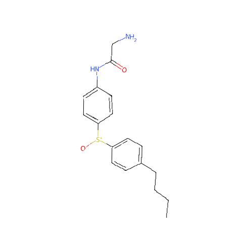 CCCCc1ccc([S+]([O-])c2ccc(NC(=O)CN)cc2)cc1